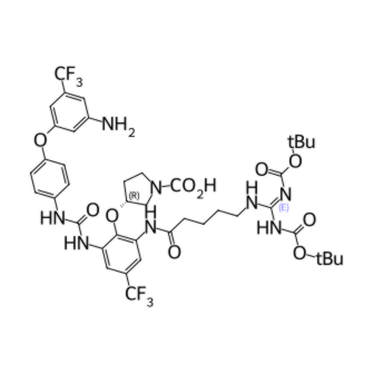 CC(C)(C)OC(=O)/N=C(\NCCCCC(=O)Nc1cc(C(F)(F)F)cc(NC(=O)Nc2ccc(Oc3cc(N)cc(C(F)(F)F)c3)cc2)c1O[C@@H]1CCN(C(=O)O)C1)NC(=O)OC(C)(C)C